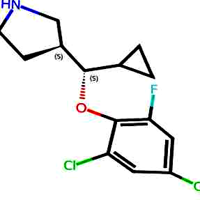 Fc1cc(Cl)cc(Cl)c1O[C@@H](C1CC1)[C@H]1CCNC1